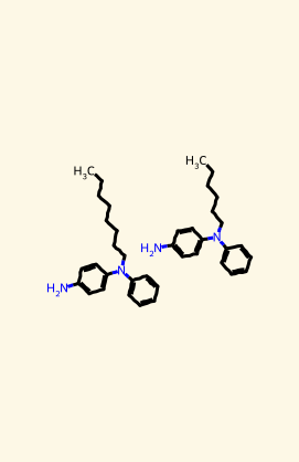 CCCCCCCCN(c1ccccc1)c1ccc(N)cc1.CCCCCCN(c1ccccc1)c1ccc(N)cc1